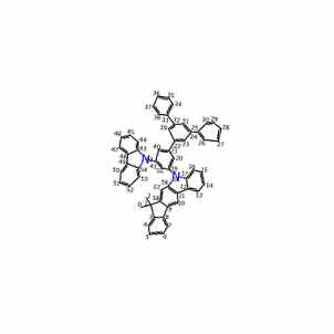 CC1(C)c2ccccc2-c2cc3c4ccccc4n(-c4cc(-c5cc(-c6ccccc6)cc(-c6ccccc6)c5)cc(-n5c6ccccc6c6ccccc65)c4)c3cc21